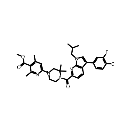 COC(=O)c1c(C)cc(N2CCN(C(=O)c3ccc4c(-c5ccc(Cl)c(F)c5)cn(CC(C)C)c4n3)C(C)(C)C2)nc1C